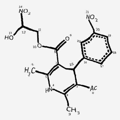 CC(=O)C1=C(C)NC(C)=C(C(=O)OCC(O)[N+](=O)[O-])C1c1cccc([N+](=O)[O-])c1